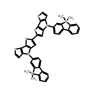 C[Si]1(C)c2ccccc2-c2ccc(-n3c4ccsc4c4sc(-c5cc6c(s5)c5sccc5n6-c5ccc6c(c5)[Si](C)(C)c5ccccc5-6)cc43)cc21